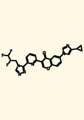 O=c1c(-c2cccc(-c3nncn3CC(F)C(F)F)n2)coc2ccc(-n3cnc(C4CC4)c3)cc12